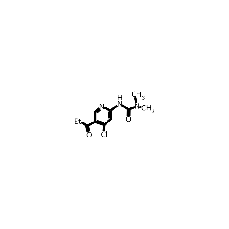 CCC(=O)c1cnc(NC(=O)N(C)C)cc1Cl